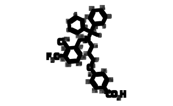 CC(c1ccccc1)(c1ccccc1)N(CCCOc1ccc(C(=O)O)cc1)Cc1cccc(C(F)(F)F)c1Cl